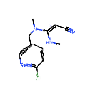 CN/C(=C\C#N)N(C)Cc1ccc(Cl)nc1